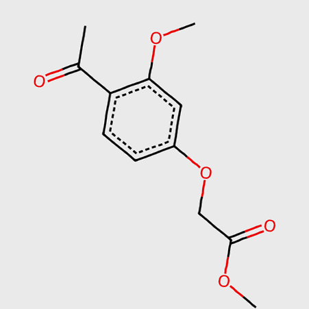 COC(=O)COc1ccc(C(C)=O)c(OC)c1